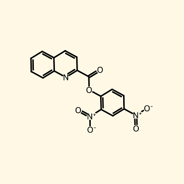 O=C(Oc1ccc([N+](=O)[O-])cc1[N+](=O)[O-])c1ccc2ccccc2n1